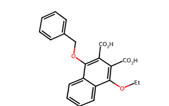 CCOc1c(C(=O)O)c(C(=O)O)c(OCc2ccccc2)c2ccccc12